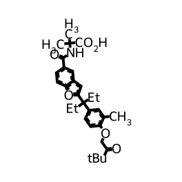 CCC(CC)(c1ccc(OCC(=O)C(C)(C)C)c(C)c1)c1cc2cc(C(=O)NC(C)(C)C(=O)O)ccc2o1